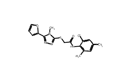 Cc1cc(C)c(NC(=O)CSc2nnc(-c3ccco3)n2C)c(Cl)c1